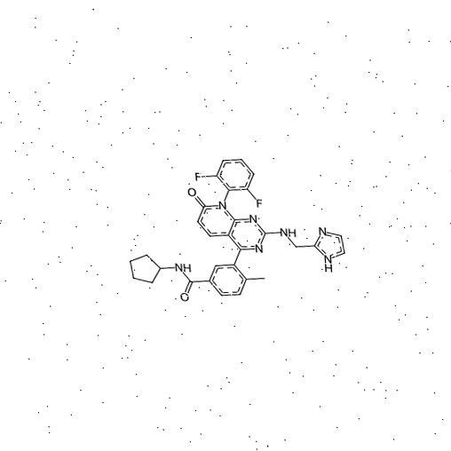 Cc1ccc(C(=O)NC2CCCC2)cc1-c1nc(NCc2ncc[nH]2)nc2c1ccc(=O)n2-c1c(F)cccc1F